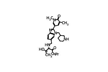 Cc1cc(-c2nc3ccc(CN[C@H](C(=O)OC(C)C)[C@@H](C)O)cc3n2CC2CCCNC2)cn(C)c1=O